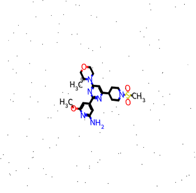 COc1cc(-c2nc(C3CCN(S(C)(=O)=O)CC3)cc(N3CCOC[C@H]3C)n2)cc(N)n1